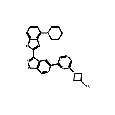 NC1CN(c2cncc(-c3cc4c(-c5cc6c(N7CCCCC7)cccc6[nH]5)n[nH]c4cn3)n2)C1